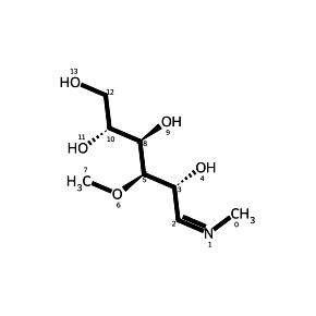 C/N=C\[C@@H](O)[C@@H](OC)[C@H](O)[C@H](O)CO